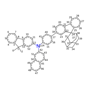 CC1(C)c2ccccc2-c2ccc(N(c3ccc(-c4ccc5c(c4)C4(c6ccccc6-5)C5CC6CC(C5)CC4C6)cc3)c3ccc4ccccc4c3)cc21